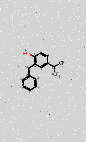 Oc1ccc([C](C(F)(F)F)C(F)(F)F)cc1Cc1ccccc1